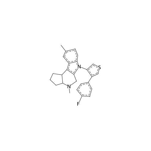 Cc1ccc2c(c1)c1c(n2-c2cscc2-c2ccc(F)cc2)CN(C)C2CCCC12